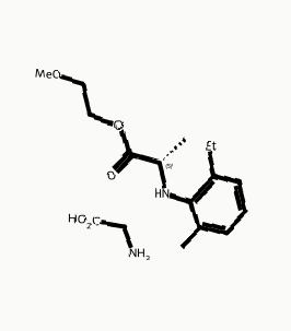 CCc1cccc(C)c1N[C@@H](C)C(=O)OCCOC.NCC(=O)O